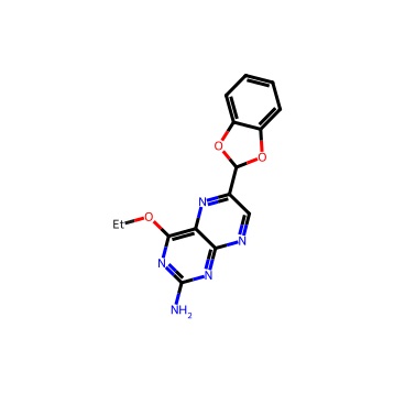 CCOc1nc(N)nc2ncc(C3Oc4ccccc4O3)nc12